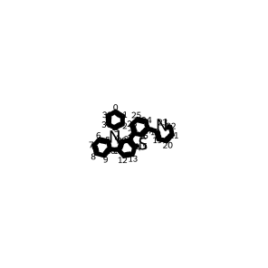 c1ccc(-n2c3ccccc3c3ccc4sc5c(-c6ccccn6)cccc5c4c32)cc1